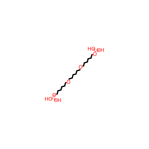 OB(O)OCCCCCCOCCCCCCOCCCCCCOB(O)O